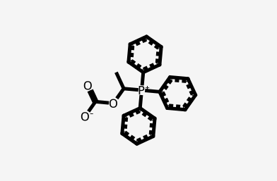 CC(OC(=O)[O-])[P+](c1ccccc1)(c1ccccc1)c1ccccc1